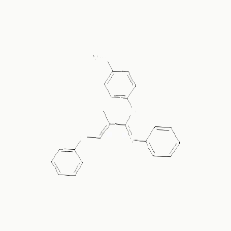 CSc1ccc(OC(=N\c2ccccc2)/C(C)=C/Oc2ccccc2)cc1